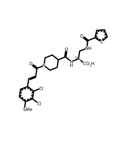 CSc1ccc(C=CC(=O)N2CCC(C(=O)N[C@@H](CNC(=O)c3cccs3)C(=O)O)CC2)c(Cl)c1Cl